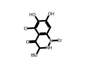 CCN1NC(C(C)(C)C)C(=O)c2c1cc(O)c(O)c2Cl